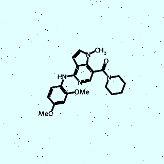 COc1ccc(Nc2ncc(C(=O)N3CCCCC3)c3c2ccn3C)c(OC)c1